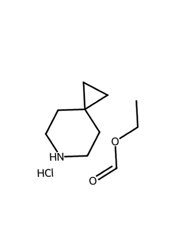 C1CC2(CCN1)CC2.CCOC=O.Cl